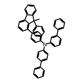 CC1(c2ccccc2)c2ccccc2-c2cccc(-c3ccc(N(c4ccc(-c5ccccc5)cc4)c4cccc(-c5ccccc5)c4)cc3)c21